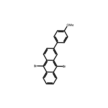 COc1ccc(-c2ccc3c(Br)c4ccccc4c(Br)c3c2)cc1